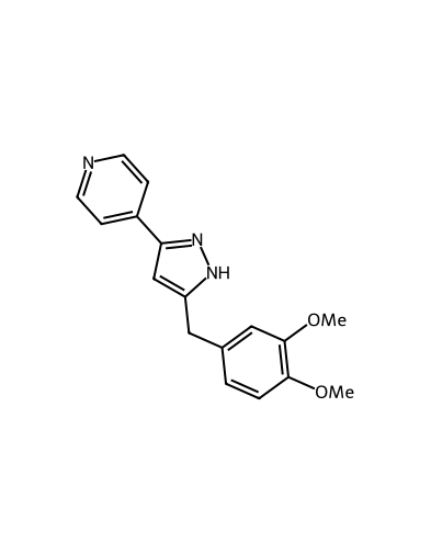 COc1ccc(Cc2cc(-c3ccncc3)n[nH]2)cc1OC